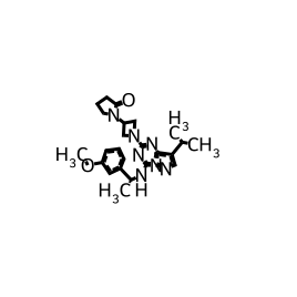 COc1cccc([C@H](C)Nc2nc(N3CC(N4CCCC4=O)C3)nc3c(C(C)C)cnn23)c1